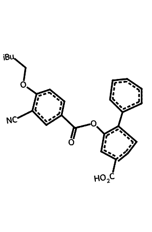 CCC(C)COc1ccc(C(=O)Oc2cc(C(=O)O)ccc2-c2ccccc2)cc1C#N